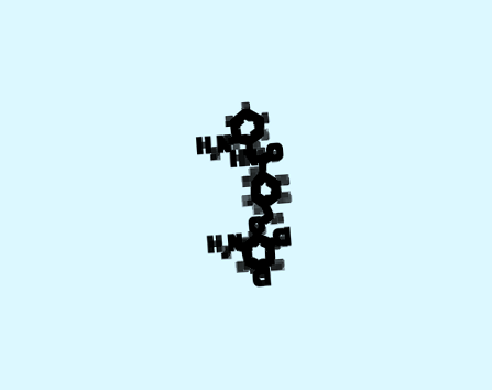 Nc1ccccc1NC(=O)c1ccc(COc2c(N)cc(Cl)cc2Cl)cc1